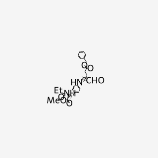 CCC(=O)N[C@H](Cc1ccc(NC[C@](C)(C=O)CCC(=O)OCc2ccccc2)cc1)C(=O)OC